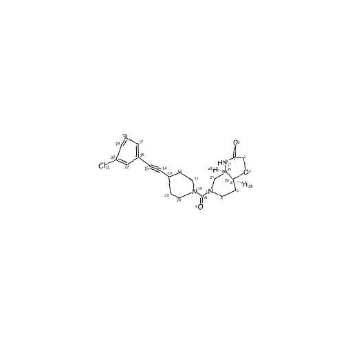 O=C1CO[C@H]2CCN(C(=O)N3CCC(C#Cc4cccc(Cl)c4)CC3)C[C@H]2N1